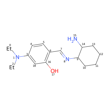 CCN(CC)c1ccc(C=NC2CCCCC2N)c(O)c1